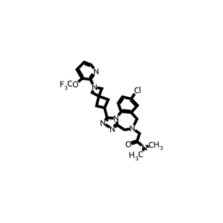 CN(C)C(=O)CN1Cc2cc(Cl)ccc2-n2c(nnc2C2CC3(C2)CN(c2ncccc2OC(F)(F)F)C3)C1